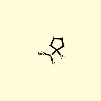 CON(C(C)=O)C1(C)CCCC1